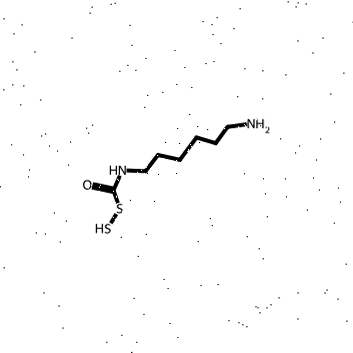 NCCCCCCNC(=O)SS